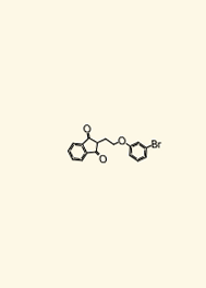 O=C1c2ccccc2C(=O)C1CCOc1cccc(Br)c1